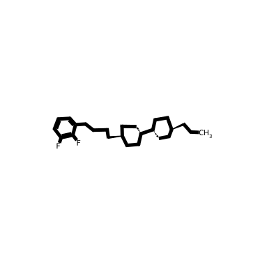 CCC[C@H]1CC[C@H]([C@H]2CC[C@H](CCCCc3cccc(F)c3F)CC2)CC1